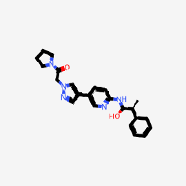 C[C@@H](C1C=CC=CC1)C(O)Nc1ccc(-c2cnn(CC(=O)N3CCCC3)c2)cn1